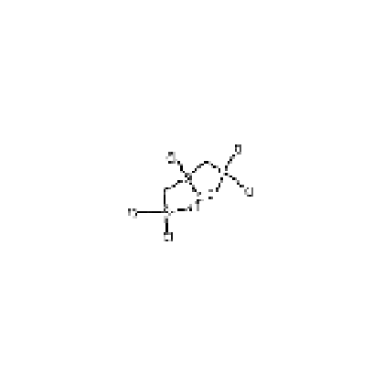 Cl[Si](Cl)(Cl)C[Si](Cl)(Cl)C[Si](Cl)(Cl)Cl